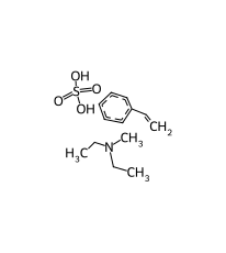 C=Cc1ccccc1.CCN(C)CC.O=S(=O)(O)O